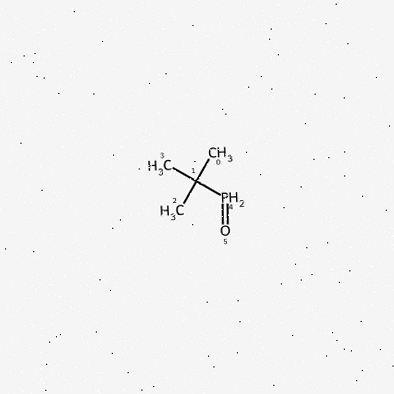 CC(C)(C)[PH2]=O